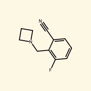 N#Cc1cccc(F)c1CN1CCC1